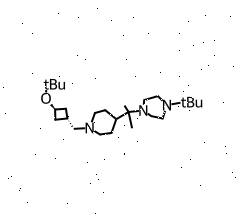 CC(C)(C)O[C@H]1C[C@H](CN2CCC(C(C)(C)N3CCN(C(C)(C)C)CC3)CC2)C1